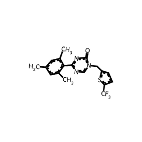 Cc1cc(C)c(-c2ncn(Cc3ccc(C(F)(F)F)s3)c(=O)n2)c(C)c1